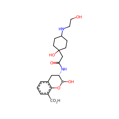 O=C(CC1(O)CCC(NCCO)CC1)N[C@H]1Cc2cccc(C(=O)O)c2OB1O